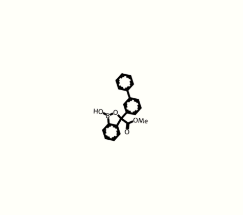 COC(=O)C1(c2cccc(-c3ccccc3)c2)OB(O)c2ccccc21